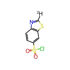 [2H]c1nc2ccc(S(=O)(=O)Cl)cc2s1